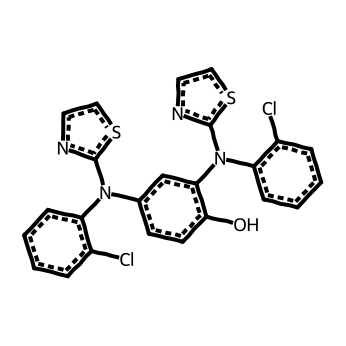 Oc1ccc(N(c2nccs2)c2ccccc2Cl)cc1N(c1nccs1)c1ccccc1Cl